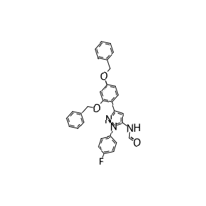 O=CNc1cc(-c2ccc(OCc3ccccc3)cc2OCc2ccccc2)nn1-c1ccc(F)cc1